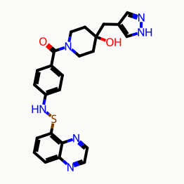 O=C(c1ccc(NSc2cccc3nccnc23)cc1)N1CCC(O)(Cc2cn[nH]c2)CC1